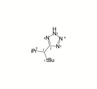 CC(C)C(c1nn[nH]n1)C(C)(C)C